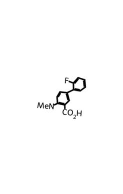 CNc1ccc(-c2ccccc2F)cc1C(=O)O